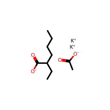 CC(=O)[O-].CCCCC(CC)C(=O)[O-].[K+].[K+]